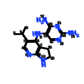 CC(C)c1cnc2c(c1Nc1cnc(N)nc1N)CCN2